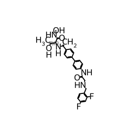 C=C(N[C@H](C(=O)NO)[C@@H](C)O)c1ccc(-c2ccc(NC(=O)CNCc3ccc(F)cc3F)cc2)cc1